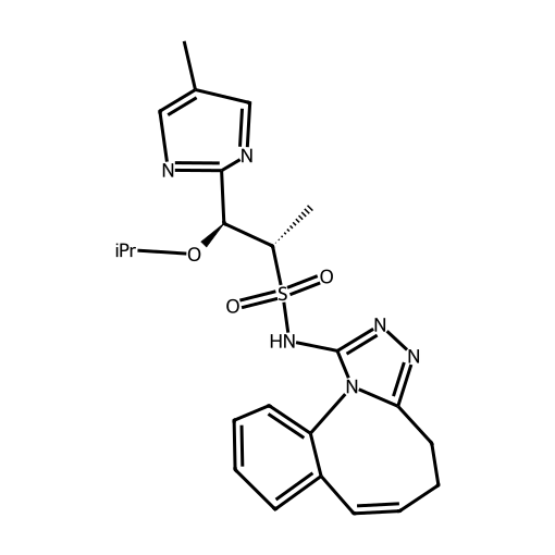 Cc1cnc([C@H](OC(C)C)[C@H](C)S(=O)(=O)Nc2nnc3n2-c2ccccc2C=CCC3)nc1